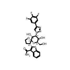 NC(=O)c1c([C@@H]2CCO[C@]23O[C@H](CO)[C@H](O)[C@H](n2cc(-c4cc(F)c(F)c(F)c4)nn2)[C@H]3O)sc2ccccc12